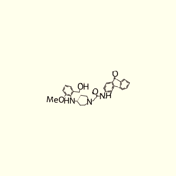 COc1cccc(CO)c1NC1CCN(CC(=O)Nc2ccc3c(c2)-c2ccccc2C3=O)CC1